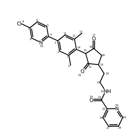 Cc1cc(-c2ccc(Cl)cn2)cc(C)c1C1C(=O)CC(CCNC(=O)c2ccccn2)C1=O